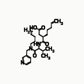 C=CCCC[C@H](CC(=O)O)C(=O)N[C@H](C(=O)N(CCCC=C)Cc1cccnc1)C(C)C